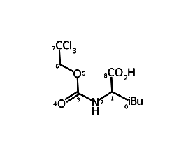 CCC(C)C(NC(=O)OCC(Cl)(Cl)Cl)C(=O)O